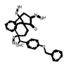 N=NC1CC(N=N)(c2ccccc2)C2(CCC(N=N)(C(C=O)c3ccc(OCc4ccccc4)cc3)CC2)C1=O